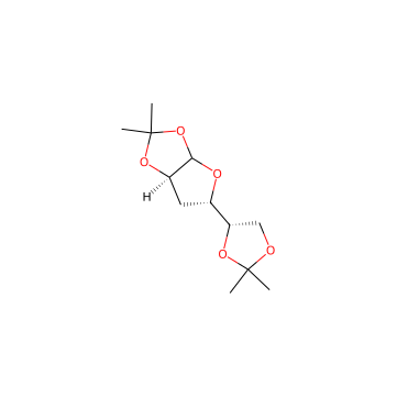 CC1(C)OC[C@@H]([C@@H]2C[C@H]3OC(C)(C)OC3O2)O1